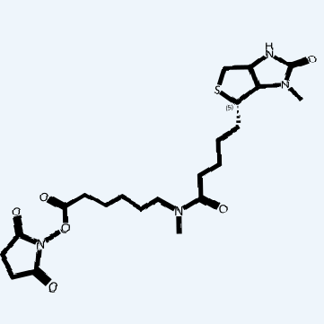 CN(CCCCCC(=O)ON1C(=O)CCC1=O)C(=O)CCCC[C@@H]1SCC2NC(=O)N(C)C21